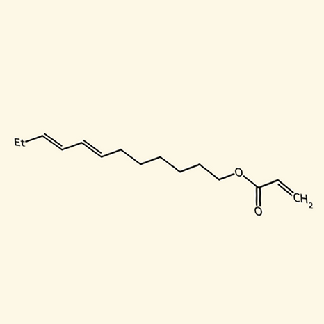 C=CC(=O)OCCCCCCC=CC=CCC